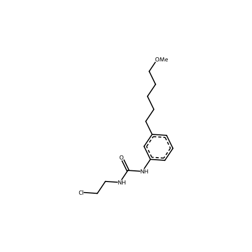 COCCCCCc1cccc(NC(=O)NCCCl)c1